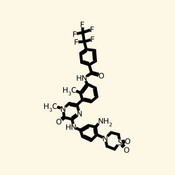 Cc1c(NC(=O)c2ccc(C(F)(F)C(F)(F)F)cc2)cccc1-c1cn(C)c(=O)c(Nc2ccc(N3CCS(=O)(=O)CC3)c(N)c2)n1